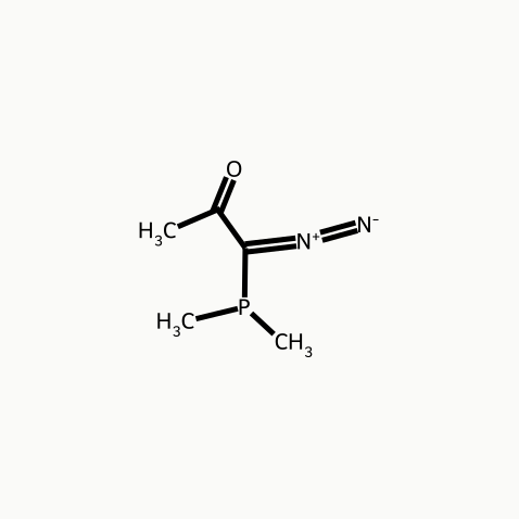 CC(=O)C(=[N+]=[N-])P(C)C